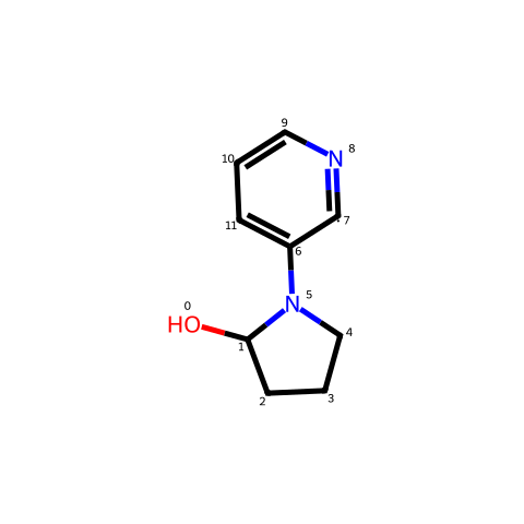 OC1CCCN1c1[c]nccc1